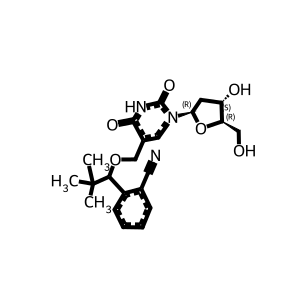 CC(C)(C)C(OCc1cn([C@H]2C[C@H](O)[C@@H](CO)O2)c(=O)[nH]c1=O)c1ccccc1C#N